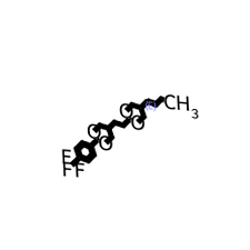 CC/C=C/C1COC(CCC2COC(c3ccc(C(F)(F)F)cc3)OC2)OC1